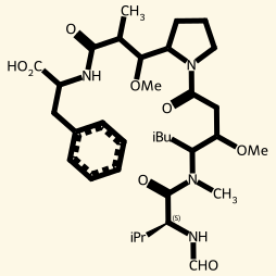 CCC(C)C(C(CC(=O)N1CCCC1C(OC)C(C)C(=O)NC(Cc1ccccc1)C(=O)O)OC)N(C)C(=O)[C@@H](NC=O)C(C)C